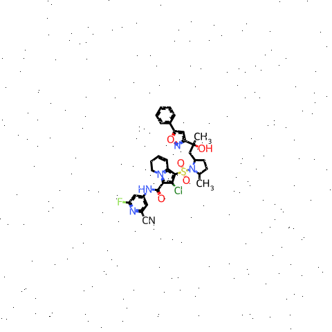 CC1CCC(CC(C)(O)c2cc(-c3ccccc3)on2)N1S(=O)(=O)c1c(Cl)c(C(=O)Nc2cc(F)nc(C#N)c2)n2c1C=CCC2